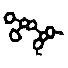 CC(C)(C)c1ccc2c(c1)c1cc(C(C)(C)C)ccc1n2-c1cnc2nc(-c3ccccc3)c(-c3ccccc3)n2c1